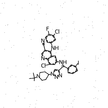 CC(C)(C)N1CCC(n2cc([C@@H](Nc3cc(Cl)c4ncc(C#N)c(Nc5ccc(F)c(Cl)c5)c4c3)c3cccc(I)c3)nn2)CC1